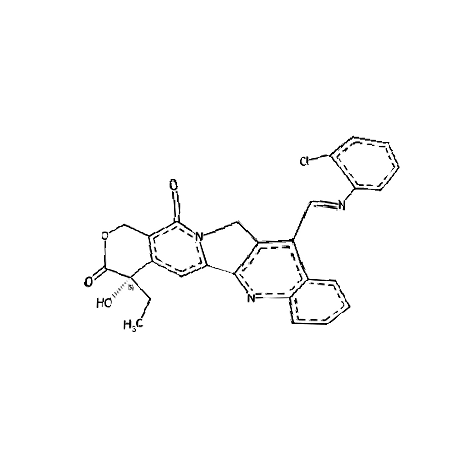 CC[C@@]1(O)C(=O)OCc2c1cc1n(c2=O)Cc2c-1nc1ccccc1c2C=Nc1ccccc1Cl